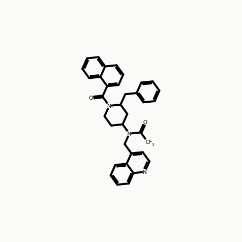 O=C(c1cccc2ccccc12)N1CCC(N(Cc2ccnc3ccccc23)C(=O)C(F)(F)F)CC1Cc1ccccc1